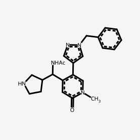 CC(=O)NC(c1cc(=O)n(C)cc1-c1cnn(Cc2ccccc2)c1)C1CCNC1